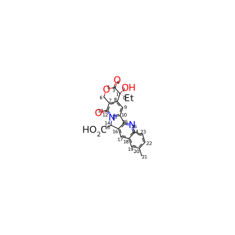 CC[C@@]1(O)C(=O)OCc2c1cc1n(c2=O)C(C(=O)O)c2cc3cc(C)ccc3nc2-1